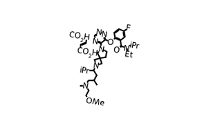 CCN(C(=O)c1cc(F)ccc1Oc1nncnc1N1CCC2(C1)CN(C(CC(C)CN(C)CCOC)C(C)C)C2)C(C)C.O=C(O)/C=C/C(=O)O